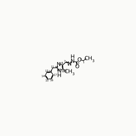 CCOC(=O)NN=Cc1nc(Cc2ccccc2)[nH]c1C